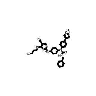 Cn1cc(-c2ccc(N(C(=O)NCc3ccccc3)C3CCC(Nc4ncc(C#N)c(NCCCO)n4)CC3)cc2)cn1